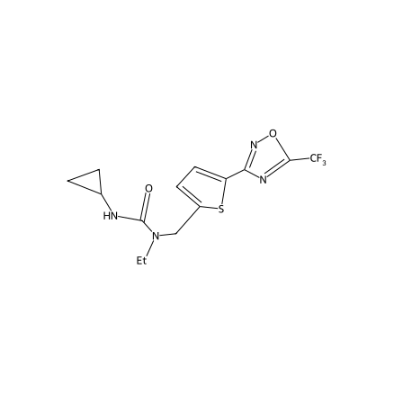 CCN(Cc1ccc(-c2noc(C(F)(F)F)n2)s1)C(=O)NC1CC1